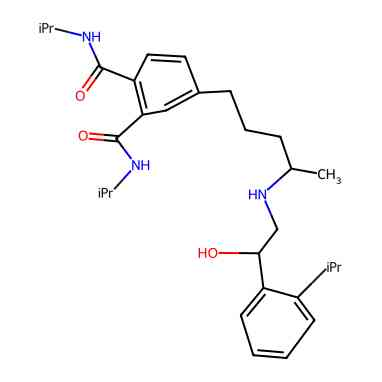 CC(C)NC(=O)c1ccc(CCCC(C)NCC(O)c2ccccc2C(C)C)cc1C(=O)NC(C)C